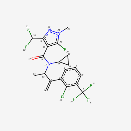 C=C(c1cccc(C(F)(F)F)c1Cl)C(C)N(C(=O)c1c(C(F)F)nn(C)c1F)C1CC1